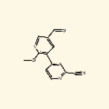 COc1ncc(C=O)cc1-c1ccnc(C#N)c1